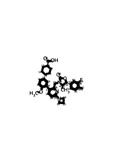 COc1ccc([C@H]2CC[C@H](C(=O)O)CC2)cc1-c1ccc(N2CCC2)nc1CN1C(=O)O[C@H](c2ccc(F)c(F)c2)[C@@H]1C